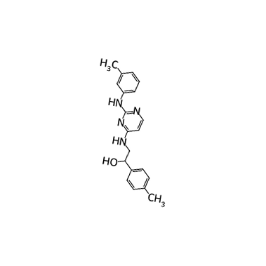 Cc1ccc(C(O)CNc2ccnc(Nc3cccc(C)c3)n2)cc1